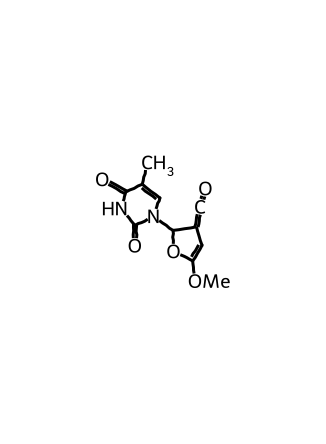 COC1=CC(=C=O)C(n2cc(C)c(=O)[nH]c2=O)O1